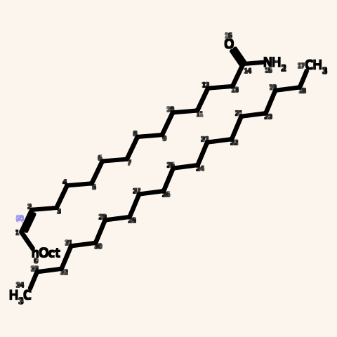 CCCCCCCC/C=C\CCCCCCCCCCCC(N)=O.CCCCCCCCCCCCCCCCCC